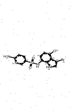 Nc1ccc(S(=O)(=O)Nc2ccc(Cl)c3c(Br)c[nH]c23)cn1